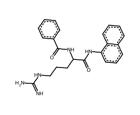 N=C(N)NCCCC(NC(=O)c1ccccc1)C(=O)Nc1cccc2ccccc12